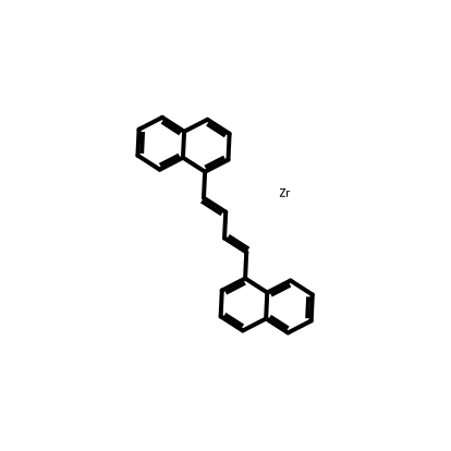 C(C=Cc1cccc2ccccc12)=Cc1cccc2ccccc12.[Zr]